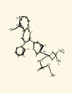 CC(C)(C)OC(=O)NC1(c2ccc(-c3nc4ccnc(Cl)c4cc3-c3ccccc3)cc2)CC(O)(O)C1